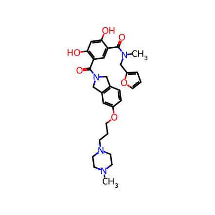 CN1CCN(CCCOc2ccc3c(c2)CN(C(=O)c2cc(C(=O)N(C)Cc4ccco4)c(O)cc2O)C3)CC1